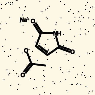 CC(=O)[O-].O=C1C=CC(=O)N1.[Na+]